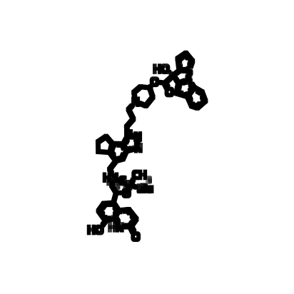 CC(C)(C)[Si](C)(C)OC(CNCc1cc2nnn(CCCN3CCC(OC(=O)[C@@](O)(c4cccs4)c4cc5ccccc5s4)CC3)c2c2c1CCC2)c1ccc(O)c2[nH]c(=O)ccc12